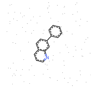 [c]1ccc(-c2ccc3cccnc3c2)cc1